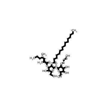 CCCCCCCCCCCCCCCC(=O)OC1C(OC2OC(CO)C(O)C(O)C2OSOOO)OC(CO)C(O)C1OC(=O)/C(C)=C/[C@@H](C)CCC